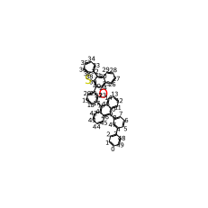 c1ccc(-c2cccc(-c3c4ccccc4c(-c4cccc5c4oc4c6ccccc6c6c7ccccc7sc6c54)c4ccccc34)c2)cc1